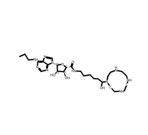 CCCNc1ncnc2c1ncn2[C@@H]1O[C@H](C(=O)NCCCCCC(O)N2CCNCCNCCNCC2)[C@@H](O)[C@H]1O